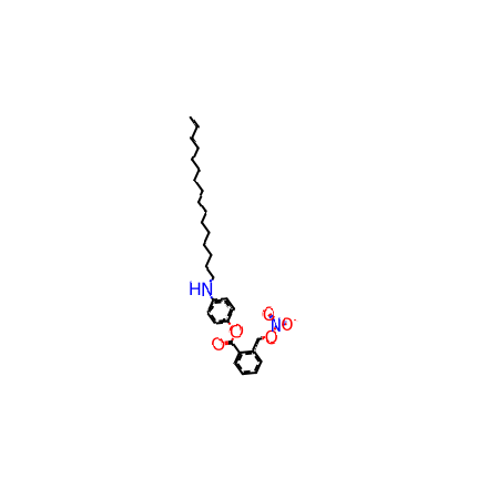 CCCCCCCCCCCCCCCCNc1ccc(OC(=O)c2ccccc2CO[N+](=O)[O-])cc1